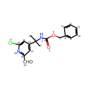 CC(C)(NC(=O)OCc1ccccc1)c1cc(Cl)nc(C=O)c1